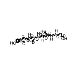 CN(CC(=O)O)CC(=O)NCCNC(=O)CN(CC(=O)O)C(=O)CNC(=O)CNC(=O)CN(CC(=O)O)C(=O)CNC(=O)CNC(=O)[C@H](Cc1ccc(O)cc1)NC=O